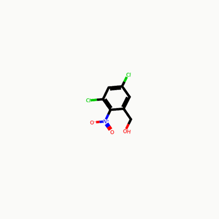 O=[N+]([O-])c1c(Cl)cc(Cl)cc1CO